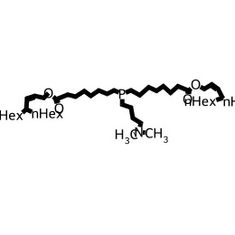 CCCCCCC(/C=C\COC(=O)CCCCCCCP(CCCCCCCC(=O)OC/C=C\C(CCCCCC)CCCCCC)CCCCN(C)C)CCCCCC